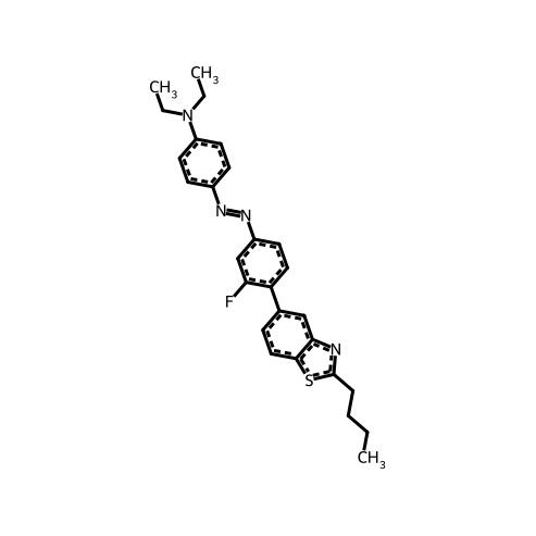 CCCCc1nc2cc(-c3ccc(/N=N/c4ccc(N(CC)CC)cc4)cc3F)ccc2s1